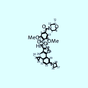 COc1cc(C(=O)N2CCO[C@@H](C)C2)cc(OC)c1S(=O)(=O)Nc1noc2c1C[C@@]1(C[C@@H]1C)c1ccc(N3CCC3)cc1-2